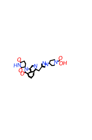 O=C1CCC(N2C(=O)c3cccc4c(Cc5cnn(C6CCN(C(=O)O)CC6)c5)ncc2c34)C(=O)N1